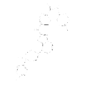 CCc1ccc(C2(O)CCN(c3cccn4nc(Nc5ccc(C(=O)N(C)C6CCN(C)CC6)cc5)nc34)CC2)cc1